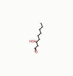 CCCCCCC(O)C[C]=O